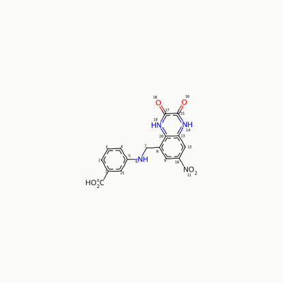 O=C(O)c1cccc(NCc2cc([N+](=O)[O-])cc3[nH]c(=O)c(=O)[nH]c23)c1